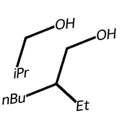 CC(C)CO.CCCCC(CC)CO